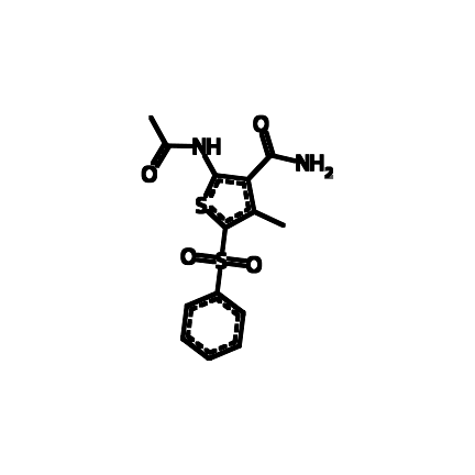 CC(=O)Nc1sc(S(=O)(=O)c2ccccc2)c(C)c1C(N)=O